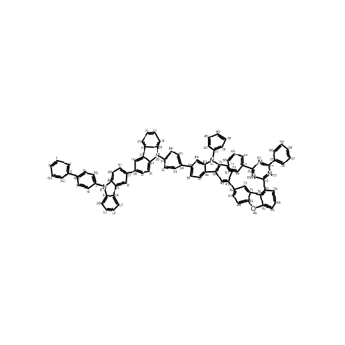 c1ccc(-c2ccc(-n3c4ccccc4c4cc(-c5ccc6c(c5)c5ccccc5n6-c5ccc(-c6ccc7c8cc(-c9ccc%10oc%11cccc(-c%12nc(-c%13ccccc%13)nc(-c%13ccccc%13)n%12)c%11c%10c9)ccc8n(-c8ccccc8)c7c6)cc5)ccc43)cc2)cc1